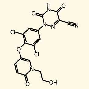 N#Cc1nn(-c2cc(Cl)c(Oc3ccc(=O)n(CCO)c3)c(Cl)c2)c(=O)[nH]c1=O